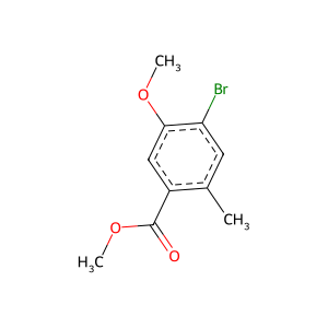 COC(=O)c1cc(OC)c(Br)cc1C